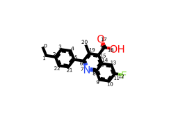 CCc1ccc(-c2nc3ccc(F)cc3c(C(=O)O)c2C)cc1